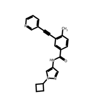 Cc1ccc(C(=O)Nc2cnn(C3CCC3)c2)cc1C#Cc1cccnc1